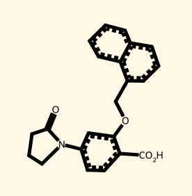 O=C(O)c1ccc(N2CCCC2=O)cc1OCc1cccc2ccccc12